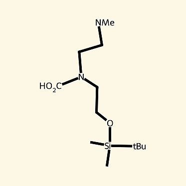 CNCCN(CCO[Si](C)(C)C(C)(C)C)C(=O)O